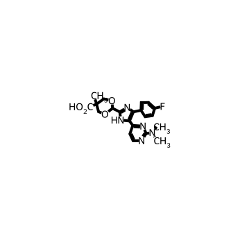 CN(C)c1nccc(-c2[nH]c(C3OCC(C)(C(=O)O)CO3)nc2-c2ccc(F)cc2)n1